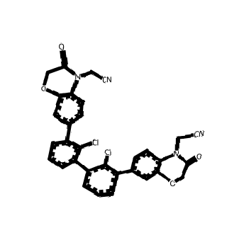 N#CCN1C(=O)COc2cc(-c3cccc(-c4cccc(-c5ccc6c(c5)OCC(=O)N6CC#N)c4Cl)c3Cl)ccc21